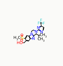 CC(C)C1c2nc3cc(CO)c(S(C)(=O)=O)cc3n2CCN1c1nccc(C(F)(F)F)n1